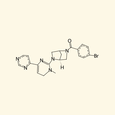 CN1CC=C(c2ccncn2)N=C1N1CC2C[C@H]1CN2C(=O)c1ccc(Br)cc1